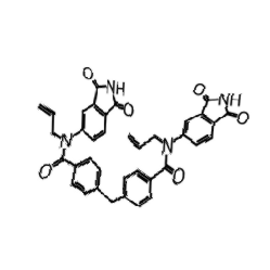 C=CCN(C(=O)c1ccc(Cc2ccc(C(=O)N(CC=C)c3ccc4c(c3)C(=O)NC4=O)cc2)cc1)c1ccc2c(c1)C(=O)NC2=O